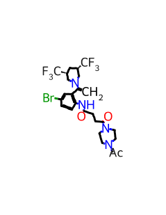 C=C(c1cc(Br)ccc1NC(=O)CCC(=O)N1CCN(C(C)=O)CC1)N1C[C@H](C(F)(F)F)C[C@H](C(F)(F)F)C1